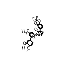 Cc1cc(NC(=O)C2(c3ccc4c(c3)OC(F)(F)O4)CC2)nc(C2=CC(=O)C(C)C=C2)c1